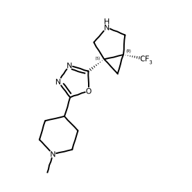 CN1CCC(c2nnc([C@]34CNC[C@@]3(C(F)(F)F)C4)o2)CC1